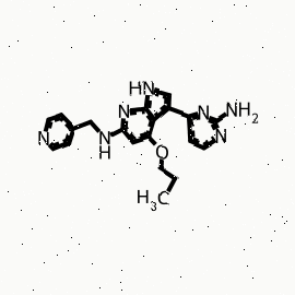 CCCOc1cc(NCc2ccncc2)nc2[nH]cc(-c3ccnc(N)n3)c12